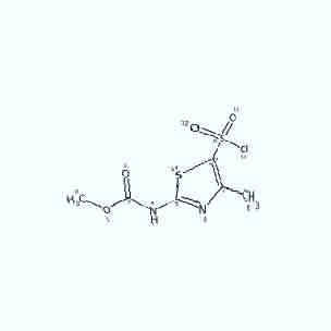 COC(=O)Nc1nc(C)c(S(=O)(=O)Cl)s1